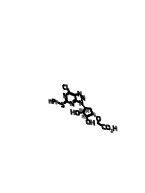 CCCSc1nc(Cl)c2nnn([C@@H]3C[C@H](OCC(=O)O)[C@@H](O)[C@H]3O)c2n1